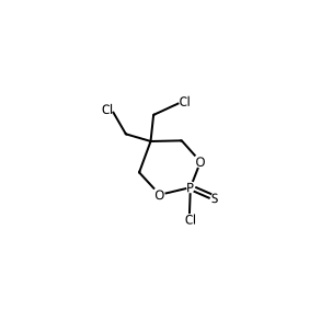 S=P1(Cl)OCC(CCl)(CCl)CO1